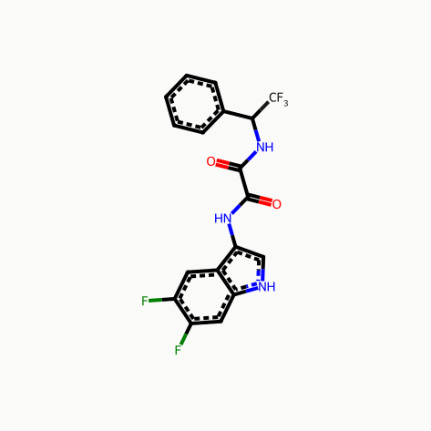 O=C(Nc1c[nH]c2cc(F)c(F)cc12)C(=O)NC(c1ccccc1)C(F)(F)F